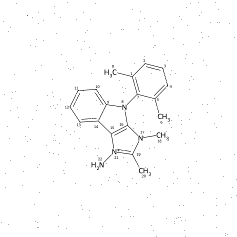 Cc1cccc(C)c1-n1c2ccccc2c2c1n(C)c(C)[n+]2N